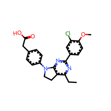 CCc1nc(-c2ccc(OC)c(Cl)c2)nc2c1CCN2c1ccc(CC(=O)O)cc1